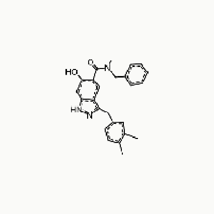 Cc1ccc(Cc2n[nH]c3cc(O)c(C(=O)N(C)Cc4ccccc4)cc23)cc1C